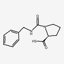 O=C(S)[C@@H]1CCCN1C(=O)NCc1ccccc1